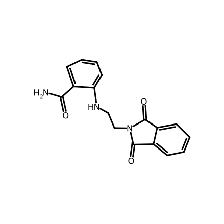 NC(=O)c1ccccc1NCCN1C(=O)c2ccccc2C1=O